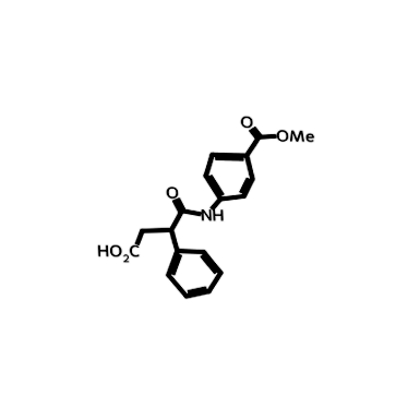 COC(=O)c1ccc(NC(=O)C(CC(=O)O)c2ccccc2)cc1